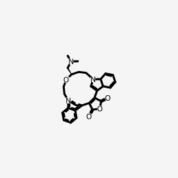 CN(C)C[C@H]1CCN2C=C(C3=C(C(=O)OC3=O)c3cn(c4ccccc34)CCO1)C1C=CC=CC12